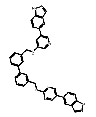 c1cc(CNc2cncc(-c3ccc4[nH]ncc4c3)c2)cc(-c2cccc(CNc3ncc(-c4ccc5[nH]ncc5c4)cn3)c2)c1